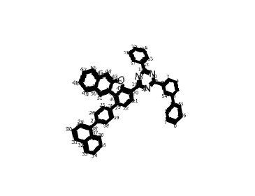 c1ccc(-c2cccc(-c3nc(-c4ccccc4)nc(-c4ccc(-c5ccc(-c6cccc7ccccc67)cc5)c5c4oc4cc6ccccc6cc45)n3)c2)cc1